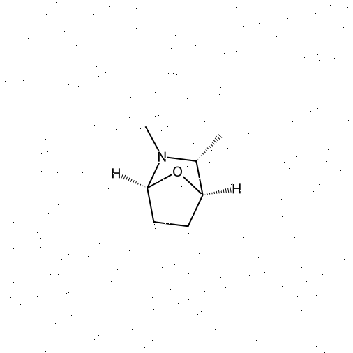 C[C@@H]1[C@H]2CC[C@H](O2)N1C